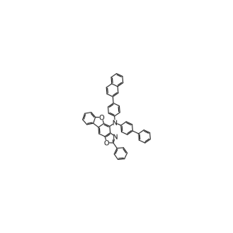 c1ccc(-c2ccc(N(c3ccc(-c4ccc5ccccc5c4)cc3)c3c4nc(-c5ccccc5)oc4cc4c3oc3ccccc34)cc2)cc1